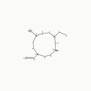 CCN1CCN(O)CCN(C=O)CCNC1